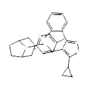 O=C(O)c1ccc(N2[C@@H]3CC[C@H]2C[C@@H](OCc2c(-c4ccccc4Cl)noc2C2CC2)C3)nc1